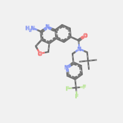 CC(C)(C)CN(Cc1ccc(C(F)(F)F)cn1)C(=O)c1ccc2nc(N)c3c(c2c1)COC3